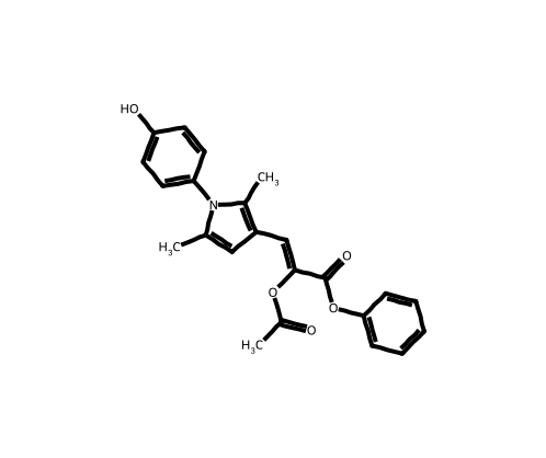 CC(=O)OC(=Cc1cc(C)n(-c2ccc(O)cc2)c1C)C(=O)Oc1ccccc1